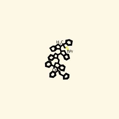 CCCSCC(C)(c1ccccc1)C1CC2C3CCC(C3)C2C1C1Cc2ccccc2C1C1Cc2ccccc2C1CC(CC(C)(CC(C=Cc1ccccc1)c1ccccc1)c1ccccc1)c1ccccc1